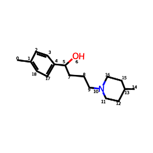 Cc1ccc(C(O)CCCN2CCC(C)CC2)cc1